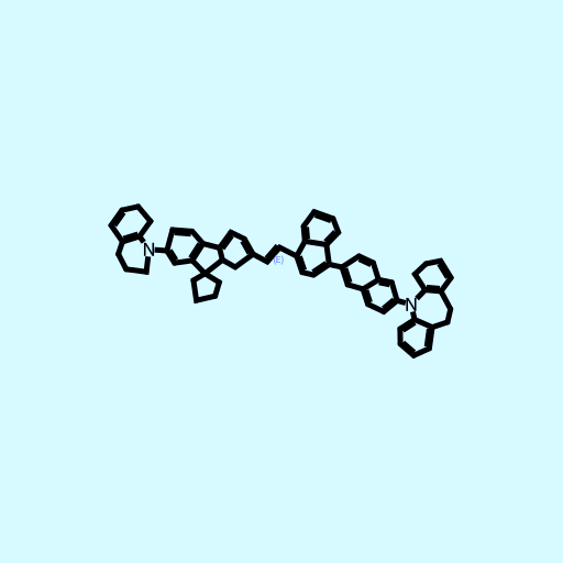 C1=CC2=C(CC1)N(c1ccc3c(c1)C1(CCCC1)C1CC(/C=C/c4ccc(-c5ccc6cc(N7C8=C(C=CCC8)CCc8ccccc87)ccc6c5)c5ccccc45)=CC=C31)CCC2